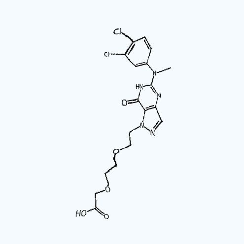 CN(c1ccc(Cl)c(Cl)c1)c1nc2cnn(CCOCCOCC(=O)O)c2c(=O)[nH]1